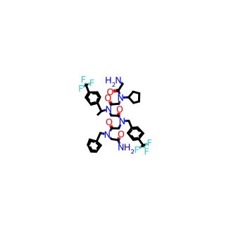 CC(c1ccc(C(F)(F)F)cc1)N(CC(=O)N(CC(=O)N(CC(N)=O)Cc1ccccc1)Cc1ccc(C(F)(F)F)cc1)C(=O)CN(C(=O)CN)C1CCCC1